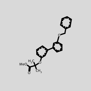 COC(=O)C(C)(C)Oc1cccc(-c2cccc(OCc3ccccc3)c2)c1